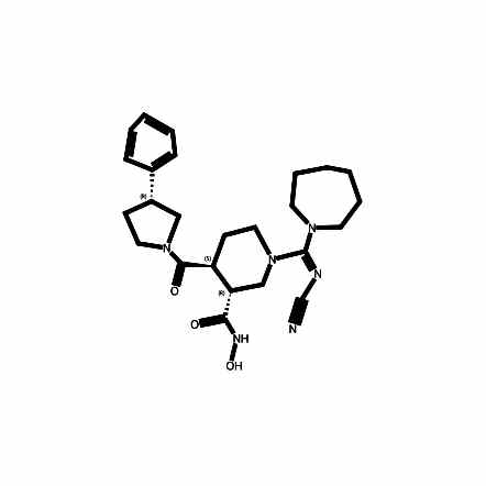 N#CN=C(N1CCCCCC1)N1CC[C@H](C(=O)N2CC[C@H](c3ccccc3)C2)[C@@H](C(=O)NO)C1